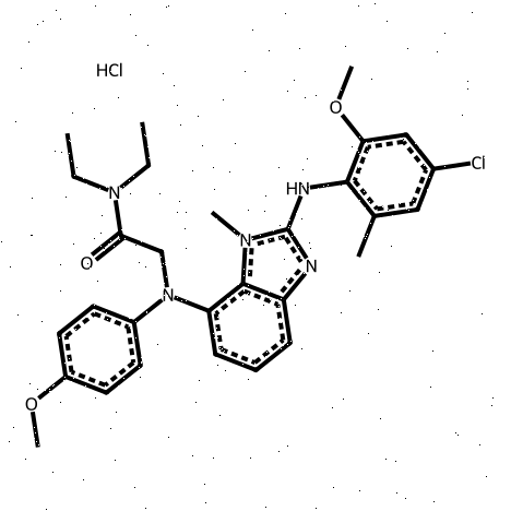 CCN(CC)C(=O)CN(c1ccc(OC)cc1)c1cccc2nc(Nc3c(C)cc(Cl)cc3OC)n(C)c12.Cl